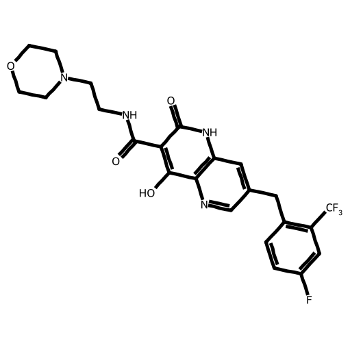 O=C(NCCN1CCOCC1)c1c(O)c2ncc(Cc3ccc(F)cc3C(F)(F)F)cc2[nH]c1=O